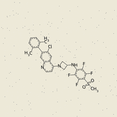 Cc1cccc(C)c1-c1cc2nccc(N3CC(Nc4c(F)c(F)c(S(C)(=O)=O)c(F)c4F)C3)c2cc1Cl